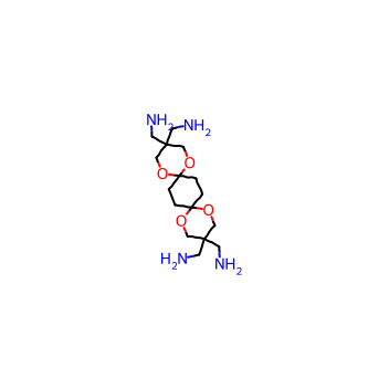 NCC1(CN)COC2(CCC3(CC2)OCC(CN)(CN)CO3)OC1